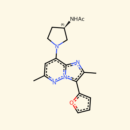 CC(=O)N[C@@H]1CCN(c2cc(C)nn3c(-c4ccco4)c(C)nc23)C1